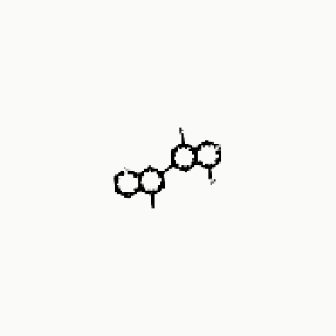 Cc1cc(-c2cc(F)c3cncc(C(C)C)c3c2)cc2ncccc12